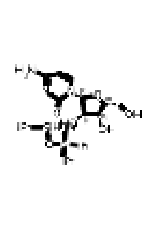 CC(C)[SiH2]O[Si](C(C)C)(C(C)C)C(C)C.Nc1ccn([C@@H]2O[C@H](CO)[C@@H](O)[C@H]2O)c(=O)n1